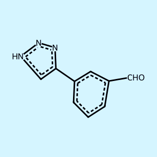 O=Cc1cccc(-c2c[nH]nn2)c1